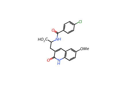 COc1ccc2[nH]c(=O)c(CC(NC(=O)c3ccc(Cl)cc3)C(=O)O)cc2c1